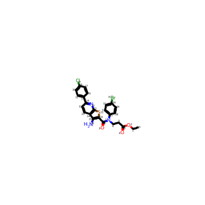 CCOC(=O)CCN(C(=O)c1sc2nc(-c3ccc(Cl)cc3)ccc2c1N)c1ccc(Br)cc1